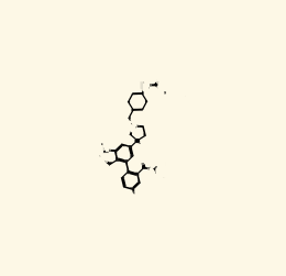 CCN(C(=O)c1cc(F)ccc1-c1cc(C2(F)CCN(CC3CCC(NC(=O)OC(C)(C)C)CC3)C2)cc2c1cnn2C)C(C)C